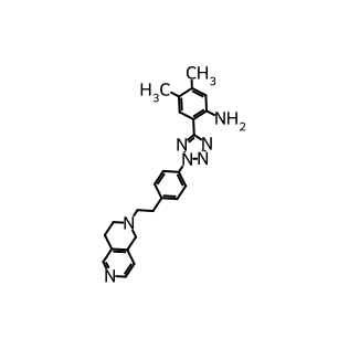 Cc1cc(N)c(-c2nnn(-c3ccc(CCN4CCc5cnccc5C4)cc3)n2)cc1C